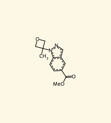 COC(=O)c1ccc2c(cnn2C2(C)COC2)c1